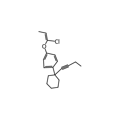 C/C=C(/Cl)Oc1ccc(C2(C#CCC)CCCCC2)cc1